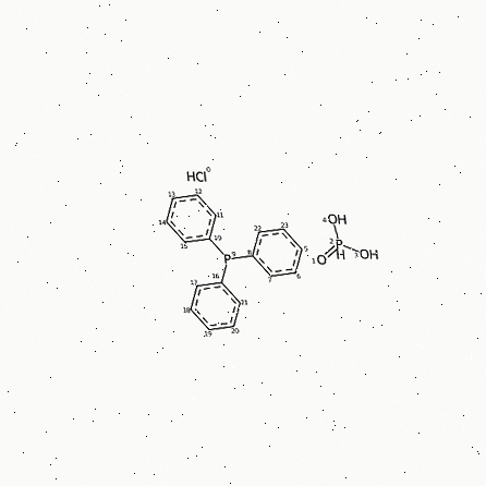 Cl.O=[PH](O)O.c1ccc(P(c2ccccc2)c2ccccc2)cc1